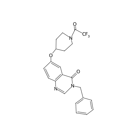 O=C(N1CCC(Oc2ccc3ncn(Cc4ccccc4)c(=O)c3c2)CC1)C(F)(F)F